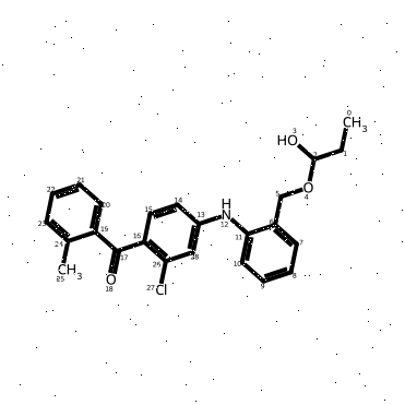 CCC(O)OCc1ccccc1Nc1ccc(C(=O)c2ccccc2C)c(Cl)c1